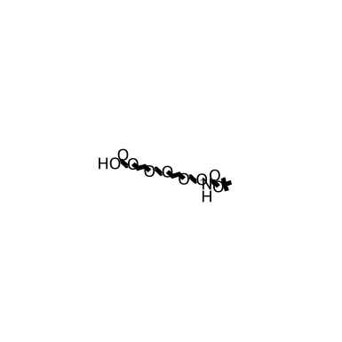 CC(C)(C)OC(=O)NOCCOCCOCCOCCOCC(=O)O